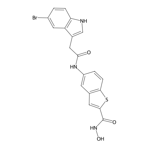 O=C(Cc1c[nH]c2ccc(Br)cc12)Nc1ccc2sc(C(=O)NO)cc2c1